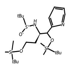 CC(C)(C)[S+]([O-])N[C@H](CCO[Si](C)(C)C(C)(C)C)C(O[Si](C)(C)C(C)(C)C)c1ccccn1